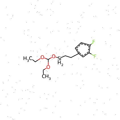 CCOC(OCC)O[SiH2]CCc1ccc(F)c(F)c1